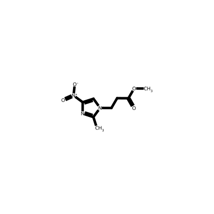 COC(=O)CCn1cc([N+](=O)[O-])nc1C